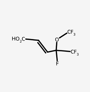 O=C(O)C=CC(F)(OC(F)(F)F)C(F)(F)F